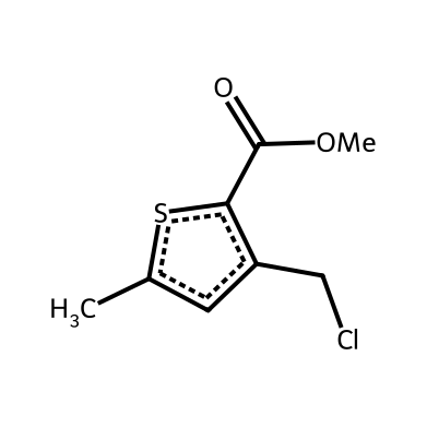 COC(=O)c1sc(C)cc1CCl